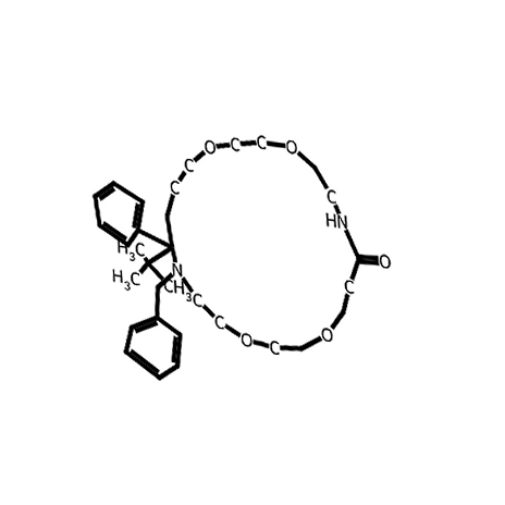 CC(C)(C)C1(c2ccccc2)CCCOCCOCCNC(=O)CCOCCOCCN1Cc1ccccc1